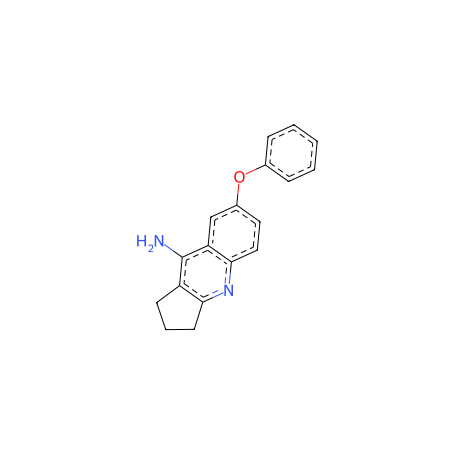 Nc1c2c(nc3ccc(Oc4ccccc4)cc13)CCC2